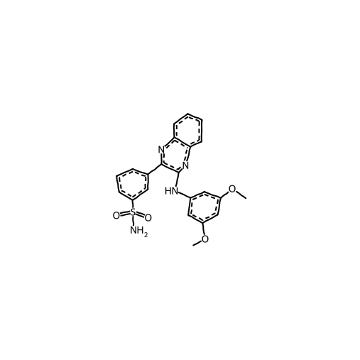 COc1cc(Nc2nc3ccccc3nc2-c2cccc(S(N)(=O)=O)c2)cc(OC)c1